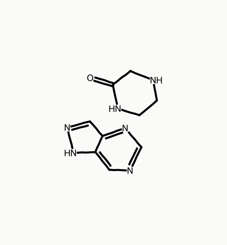 O=C1CNCCN1.c1ncc2[nH]ncc2n1